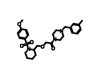 COc1ccc(S(=O)(=O)N2CCCCC2COCC(=O)N2CCN(Cc3cccc(C)c3)CC2)cc1